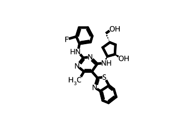 Cc1nc(Nc2ccccc2F)nc(N[C@@H]2C[C@H](CO)C[C@H]2O)c1-c1nc2ccccc2s1